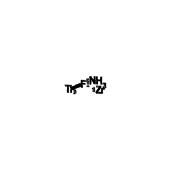 N.[F][Ti].[Zr]